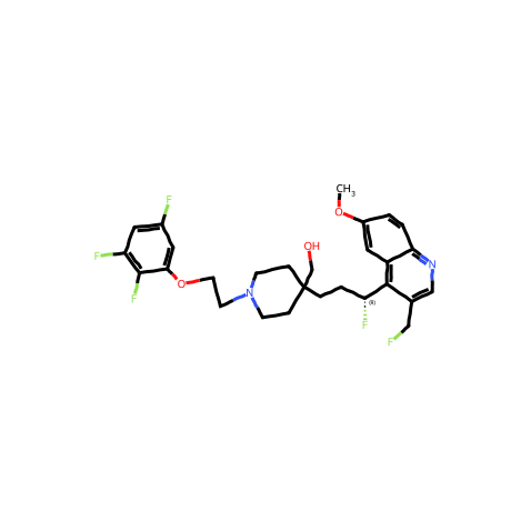 COc1ccc2ncc(CF)c([C@H](F)CCC3(CO)CCN(CCOc4cc(F)cc(F)c4F)CC3)c2c1